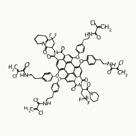 C=C(Cl)C(=O)NCCc1ccc(Oc2cc3c4c(cc(Oc5ccc(CCNC(=O)C(=C)Cl)cc5)c5c6c(Oc7ccc(CCNC(=O)C(=C)Cl)cc7)cc7c8c(cc(Oc9ccc(CCNC(=O)C(=C)Cl)cc9)c(c2c45)c86)C(=O)N(C(CC(F)(F)F)C(=O)N2CCCCC2)C7=O)C(=O)N(C(CC(F)(F)F)C(=O)N2CCCCC2)C3=O)cc1